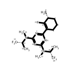 B[C@@H]1CCCC(c2nc(N(C)[C@H](C)C(F)(F)F)nc(N(C)[C@H](C)C(F)(F)F)n2)=C1F